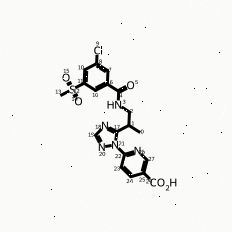 CC(CNC(=O)c1cc(Cl)cc(S(C)(=O)=O)c1)c1ncnn1-c1ccc(C(=O)O)cn1